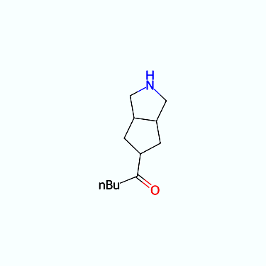 CCCCC(=O)C1CC2CNCC2C1